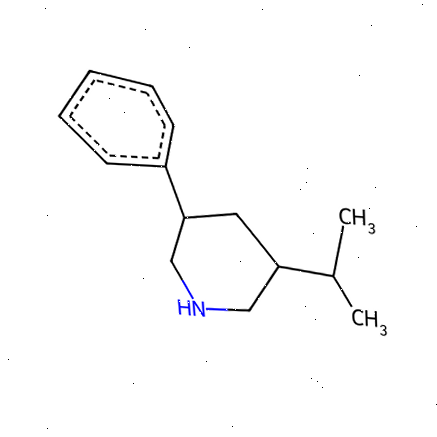 CC(C)C1CNCC(c2ccccc2)C1